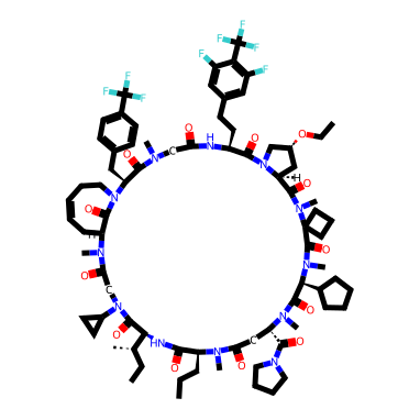 CCC[C@H]1C(=O)N[C@@H]([C@@H](C)CC)C(=O)N(C2CC2)CC(=O)N(C)[C@H]2C/C=C\CCN(C2=O)[C@@H](Cc2ccc(C(F)(F)F)cc2)C(=O)N(C)CC(=O)N[C@@H](CCc2cc(F)c(C(F)(F)F)c(F)c2)C(=O)N2C[C@H](OCC)C[C@H]2C(=O)N(C)C2(CCC2)C(=O)N(C)[C@@H](C2CCCC2)C(=O)N(C)[C@H](C(=O)N2CCCC2)CC(=O)N1C